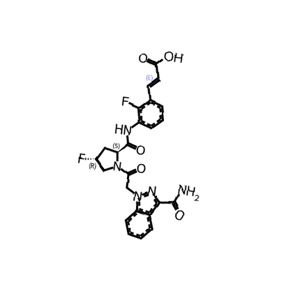 NC(=O)c1nn(CC(=O)N2C[C@H](F)C[C@H]2C(=O)Nc2cccc(/C=C/C(=O)O)c2F)c2ccccc12